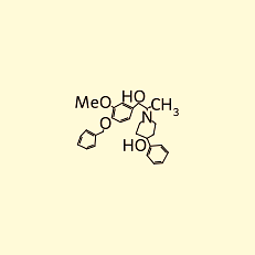 COc1cc([C@@H](O)[C@@H](C)N2CCC(O)(c3ccccc3)CC2)ccc1OCc1ccccc1